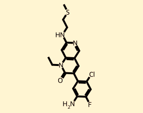 CCn1c(=O)c(-c2cc(N)c(F)cc2Cl)cc2cnc(NCCSC)cc21